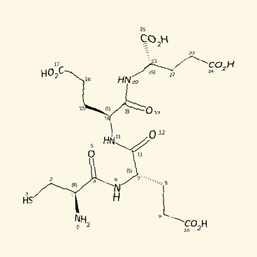 N[C@@H](CS)C(=O)N[C@@H](CCC(=O)O)C(=O)N[C@@H](CCC(=O)O)C(=O)N[C@@H](CCC(=O)O)C(=O)O